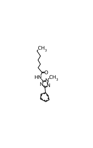 CCCCCCC(=O)Nc1nc(-c2ccccc2)nn1C